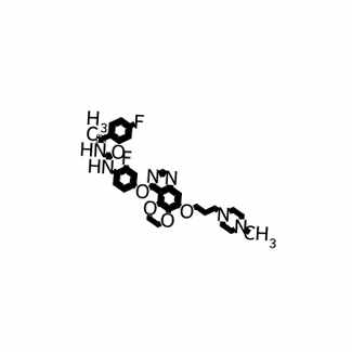 C[C@@H](NC(=O)Nc1ccc(Oc2ncnc3cc(OCCCN4CCN(C)CC4)c4c(c23)OCCO4)cc1F)c1ccc(F)cc1